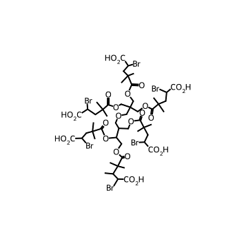 CC(C(Br)C(=O)O)C(C)(C)C(=O)OCC(OC(=O)C(C)(C)CC(Br)C(=O)O)C(COCC(COC(=O)C(C)(C)CC(Br)C(=O)O)(COC(=O)C(C)(C)CC(Br)C(=O)O)COC(=O)C(C)(C)CC(Br)C(=O)O)COC(=O)C(C)(C)CC(Br)C(=O)O